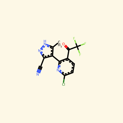 Cc1[nH]nc(C#N)c1-c1nc(Cl)ccc1C(=O)C(F)(F)F